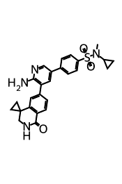 CN(C1CC1)S(=O)(=O)c1ccc(-c2cnc(N)c(-c3ccc4c(c3)C3(CC3)CNC4=O)c2)cc1